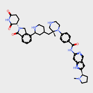 CN1CCC[C@@H]1c1cc2cnc(NC(=O)c3ccc(N4CCNC[C@@]4(C)CC4CCNC(c5cccc6c5CN([C@H]5CCC(=O)NC5=O)C6=O)C4)cc3)cc2[nH]1